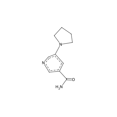 NC(=O)c1cncc(N2CCCC2)c1